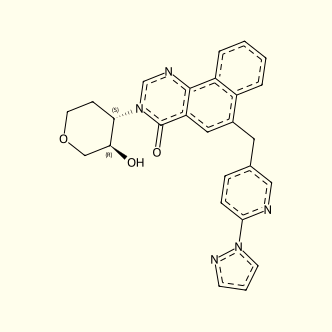 O=c1c2cc(Cc3ccc(-n4cccn4)nc3)c3ccccc3c2ncn1[C@H]1CCOC[C@@H]1O